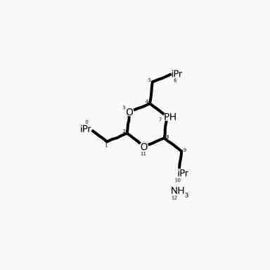 CC(C)CC1OC(CC(C)C)PC(CC(C)C)O1.N